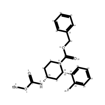 CC(C)(C)OC(=O)N[C@@H]1CCN(C(=O)OCc2ccccc2)[C@H](c2ccccc2F)C1